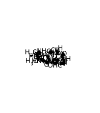 C[C@H](NC(=O)[C@H](C)NC(=O)CNC(=O)[C@H](Cc1ccc(O)cc1)NC(=O)[C@H](C)NC(=O)[C@H](C)NC(=O)[C@H](C)NC(=O)CNc1ncc(C=O)s1)C(N)=O